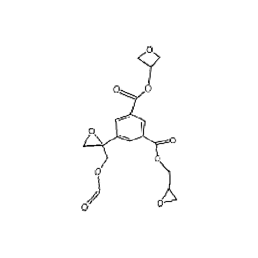 O=COCC1(c2cc(C(=O)OCC3CO3)cc(C(=O)OC3COC3)c2)CO1